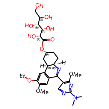 CCOc1cc2c(cc1OC)C(c1cnc(N(C)C)nc1OC)=N[C@@H]1CC[C@@H](OC(=O)[C@H](O)[C@@H](O)[C@H](O)[C@H](O)CO)C[C@H]21